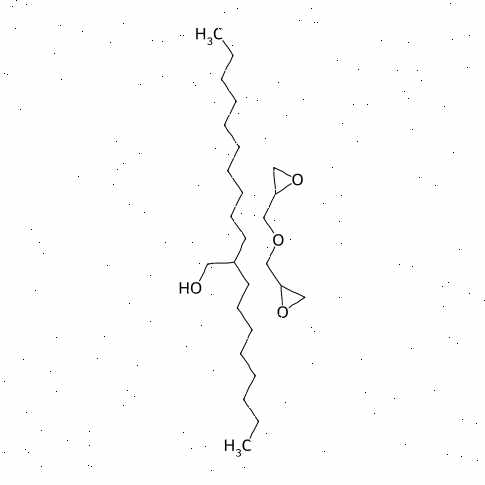 C(OCC1CO1)C1CO1.CCCCCCCCCCC(CO)CCCCCCCC